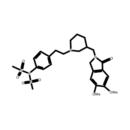 COc1cc2c(cc1OC)C(=O)N(CC1CCCN(CCc3ccc(N(S(C)(=O)=O)S(C)(=O)=O)cc3)C1)C2